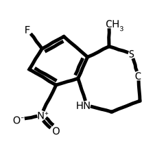 CC1SCCCNc2c1cc(F)cc2[N+](=O)[O-]